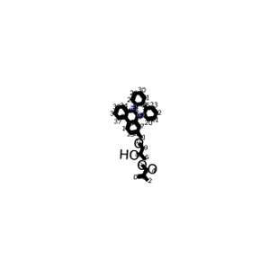 C=C(C)C(=O)OCC(O)COCc1ccc2c(c1)c(=C1\C=CC=CC1C)/c(=C1/C=CC=CC1)c1ccccc12